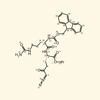 CC(C)OC(=O)[C@H](CCC(=O)C=[N+]=[N-])NC(=O)[C@H](CCCNC(N)=O)NC(=O)OCC1c2ccccc2-c2ccccc21